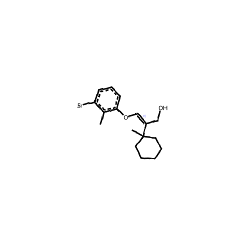 Cc1c(Br)cccc1O/C=C(/CO)C1(C)CCCCC1